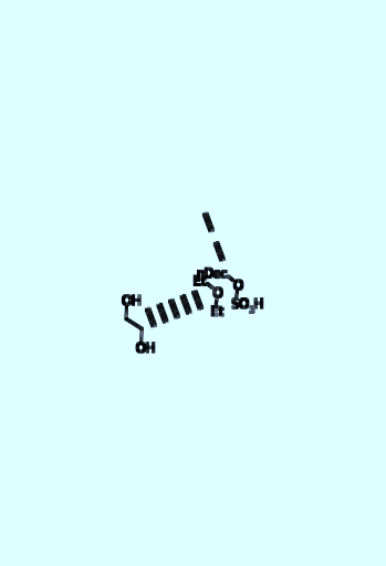 C=C.C=C.C=C.C=C.C=C.C=C.C=C.CCCCCCCCCCOS(=O)(=O)O.CCOCC.OCCO